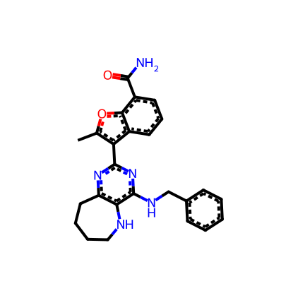 Cc1oc2c(C(N)=O)cccc2c1-c1nc2c(c(NCc3ccccc3)n1)NCCCC2